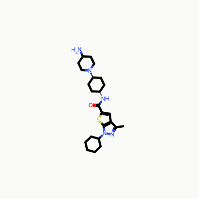 Cc1nn(C2CCCCC2)c2sc(C(=O)N[C@H]3CC[C@H](N4CCC(N)CC4)CC3)cc12